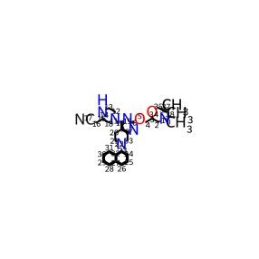 CN1CC(COc2nc3c(c(N4CCNC(CC#N)C4)n2)CCN(c2cccc4ccccc24)C3)OCC1(C)C